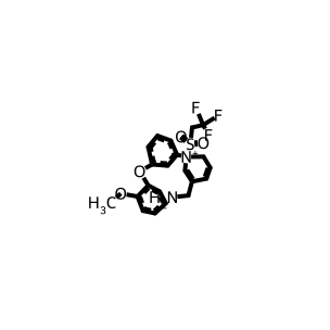 COc1ccccc1Oc1cccc([N+]2(S(=O)(=O)CC(F)(F)F)C=C(CN)C=CC2)c1